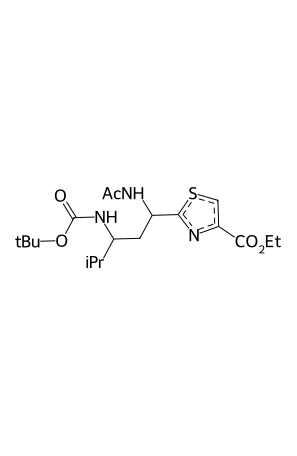 CCOC(=O)c1csc(C(CC(NC(=O)OC(C)(C)C)C(C)C)NC(C)=O)n1